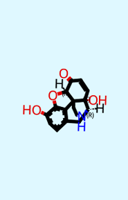 O=C1C=C[C@@]2(O)[C@H]3Cc4ccc(O)c5c4C2(CCN3)[C@H]1O5